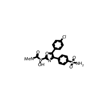 CNC(=O)N(O)c1nc(-c2ccc(S(N)(=O)=O)cc2)c(-c2ccc(Cl)cc2)o1